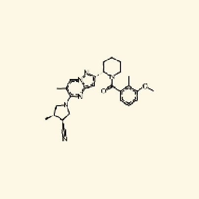 COc1cccc(C(=O)N2CCCC[C@H]2c2cc3nc(N4C[C@@H](C#N)[C@@H](C)C4)c(C)cn3n2)c1C